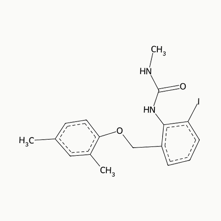 CNC(=O)Nc1c(I)cccc1COc1ccc(C)cc1C